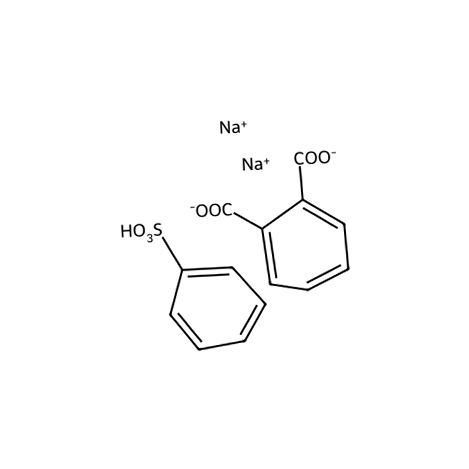 O=C([O-])c1ccccc1C(=O)[O-].O=S(=O)(O)c1ccccc1.[Na+].[Na+]